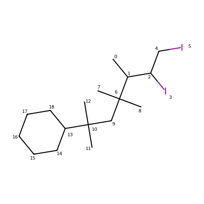 CC(C(I)CI)C(C)(C)CC(C)(C)C1CCCCC1